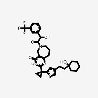 O=C(C(O)c1cccc(C(F)(F)F)c1)N1CCCc2nc(C3(c4cc(CCC5(O)CCCCC5)cs4)CC3)[nH]c(=O)c2C1